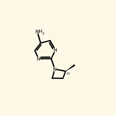 C[C@H]1CCN1c1ncc(N)cn1